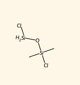 C[Si](C)(Cl)O[SiH2]Cl